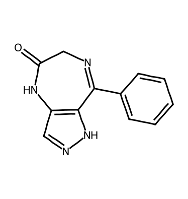 O=C1CN=C(c2ccccc2)c2[nH]ncc2N1